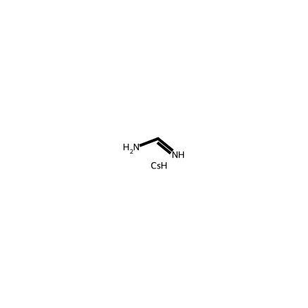 N=CN.[CsH]